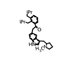 CC(C)Cc1cccc(C(=O)Cc2ccc3[nH]cc(CC4CCCN4C)c3c2)c1CC(C)C